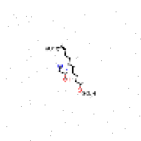 CCCCCCCC/C=C\CCCCCCCCOS(=O)(=O)O.NCCO